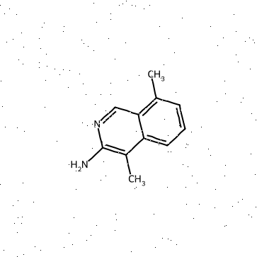 Cc1cccc2c(C)c(N)ncc12